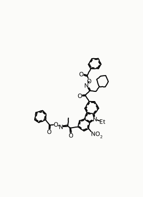 CCn1c2ccc(C(=O)/C(CC3CCCCC3)=N/OC(=O)c3ccccc3)cc2c2cc(C(=O)/C(C)=N/OC(=O)c3ccccc3)cc([N+](=O)[O-])c21